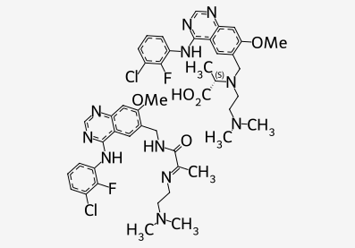 COc1cc2ncnc(Nc3cccc(Cl)c3F)c2cc1CN(CCN(C)C)[C@@H](C)C(=O)O.COc1cc2ncnc(Nc3cccc(Cl)c3F)c2cc1CNC(=O)C(C)=NCCN(C)C